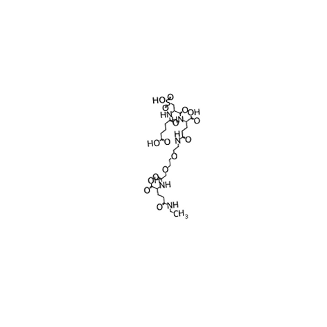 CCNC(=O)CCC(NC(=O)COCCOCCNC(=O)CCC(NC(=O)C(CS(=O)(=O)O)NC(=O)CCCC(=O)O)C(=O)O)C(=O)O